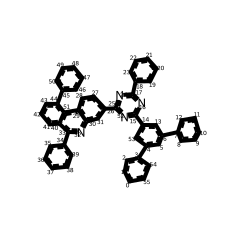 c1ccc(-c2cc(-c3ccccc3)cc(-c3nc(-c4ccccc4)nc(-c4ccc5c(c4)nc(-c4ccccc4)c4cccc(-c6ccccc6)c45)n3)c2)cc1